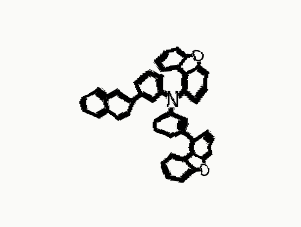 c1cc(-c2ccc3ccccc3c2)cc(N(c2cccc(-c3cccc4oc5ccccc5c34)c2)c2cccc3oc4ccccc4c23)c1